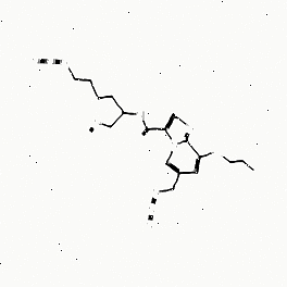 CCCOc1cc(CN=[N+]=[N-])cn2c(C(=O)NC(CCCCN=[N+]=[N-])CN=O)cnc12